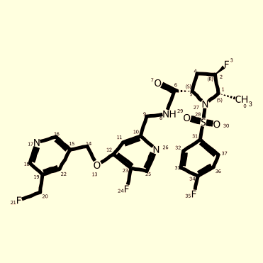 C[C@H]1[C@H](F)C[C@@H](C(=O)NCc2cc(OCc3cncc(CF)c3)c(F)cn2)N1S(=O)(=O)c1ccc(F)cc1